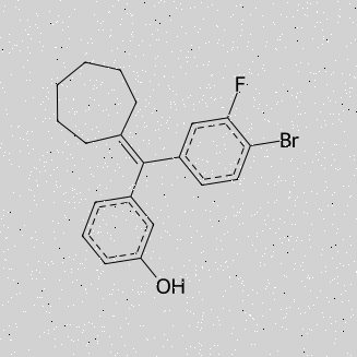 Oc1cccc(C(=C2CCCCCC2)c2ccc(Br)c(F)c2)c1